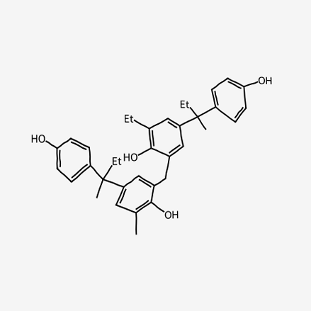 CCc1cc(C(C)(CC)c2ccc(O)cc2)cc(Cc2cc(C(C)(CC)c3ccc(O)cc3)cc(C)c2O)c1O